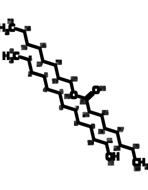 CCCCCCCCCCCCO.CCCCCCCCOC(=O)CCCCCCC